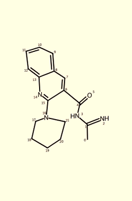 CC(=N)NC(=O)c1cc2ccccc2nc1N1CCCCC1